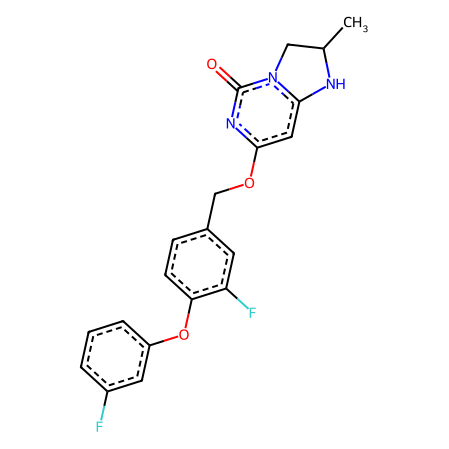 CC1Cn2c(cc(OCc3ccc(Oc4cccc(F)c4)c(F)c3)nc2=O)N1